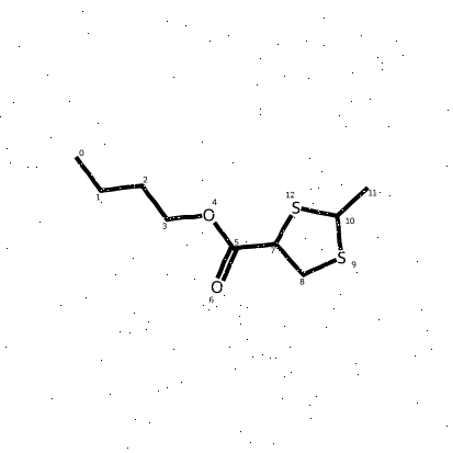 CCCCOC(=O)C1CSC(C)S1